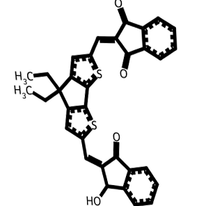 CCC1(CC)c2cc(C=C3C(=O)c4ccccc4C3=O)sc2-c2sc(/C=C3\C(=O)c4ccccc4C3O)cc21